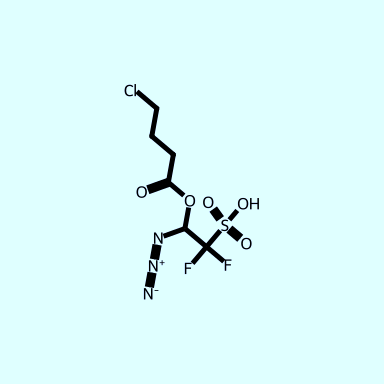 [N-]=[N+]=NC(OC(=O)CCCCl)C(F)(F)S(=O)(=O)O